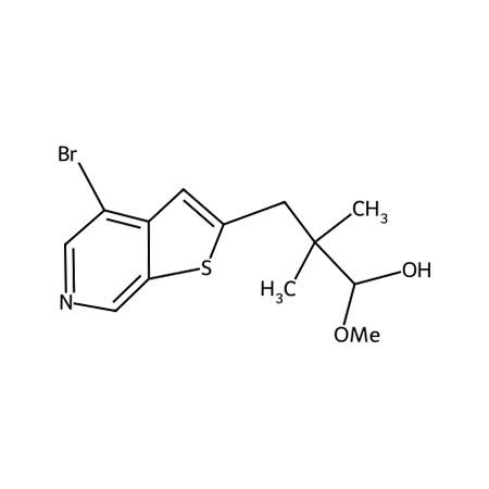 COC(O)C(C)(C)Cc1cc2c(Br)cncc2s1